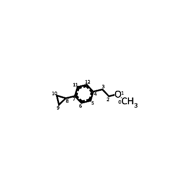 COCCc1ccc([C]2CC2)cc1